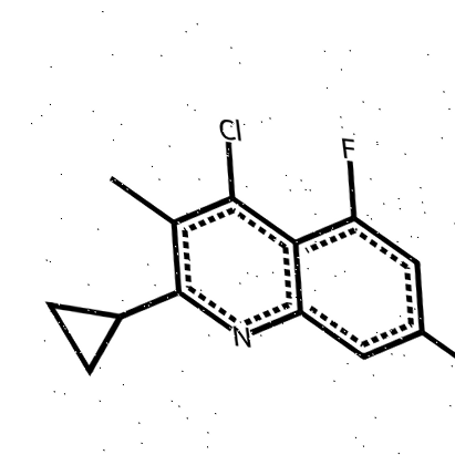 Cc1c(C2CC2)nc2cc(F)cc(F)c2c1Cl